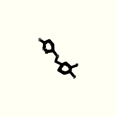 Fc1ccc(OCc2ccc(F)c(F)c2)nn1